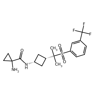 CC(C)([C@H]1C[C@@H](NC(=O)C2(N)CC2)C1)S(=O)(=O)c1cccc(C(F)(F)F)c1